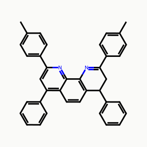 Cc1ccc(C2=Nc3c(ccc4c(-c5ccccc5)cc(-c5ccc(C)cc5)nc34)C(c3ccccc3)C2)cc1